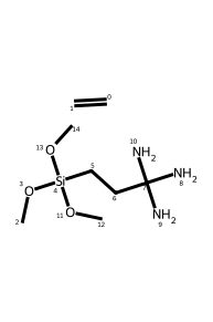 C=C.CO[Si](CCC(N)(N)N)(OC)OC